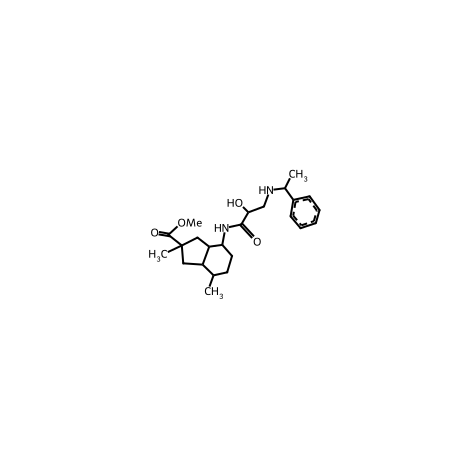 COC(=O)C1(C)CC2C(C)CCC(NC(=O)C(O)CNC(C)c3ccccc3)C2C1